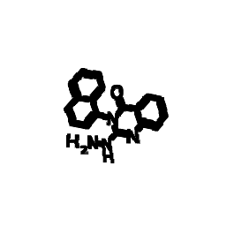 NNc1nc2ccccc2c(=O)n1-c1cccc2ccccc12